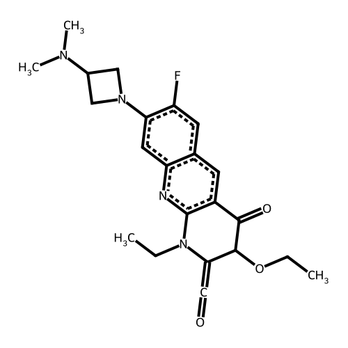 CCOC1C(=O)c2cc3cc(F)c(N4CC(N(C)C)C4)cc3nc2N(CC)C1=C=O